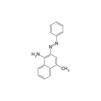 Cc1cc(N=Nc2ccccc2)c(N)c2ccccc12